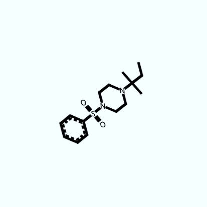 CCC(C)(C)N1CCN(S(=O)(=O)c2ccccc2)CC1